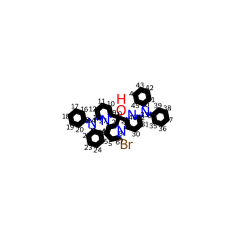 OC(c1cccc(Br)n1)(c1cccc(N(c2ccccc2)c2ccccc2)n1)c1cccc(N(c2ccccc2)c2ccccc2)n1